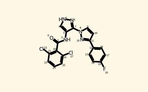 O=C(Nc1c[nH]nc1-n1ccc(-c2ccc(F)cc2)n1)c1c(Cl)cccc1Cl